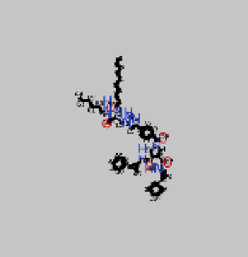 CCCCCCCCCC(=O)N[C@@H](Cn1cc(-c2ccc(C(=O)N3C[C@@H](C(=O)N[C@H]4C[C@@H]4c4ccccc4)[C@H](C(=O)N[C@H]4C[C@@H]4c4ccccc4)C3)cc2)nn1)C(=O)NCCCCCC